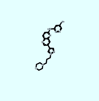 CC(C)c1cnnc(Nc2ccc3ncc(-c4cnn(CCCN5CCOCC5)c4)cc3n2)c1